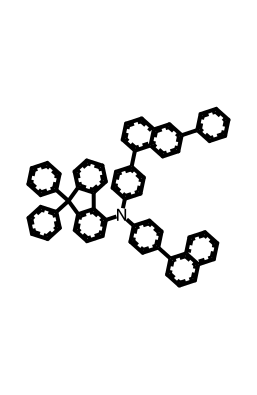 c1ccc(-c2ccc3c(-c4ccc(N(c5ccc(-c6cccc7ccccc67)cc5)c5cccc6c5-c5ccccc5C6(c5ccccc5)c5ccccc5)cc4)cccc3c2)cc1